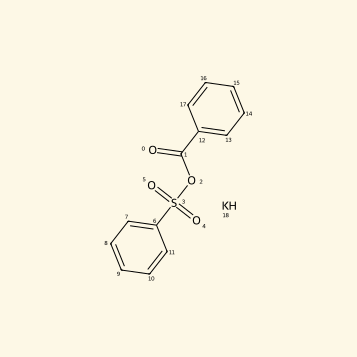 O=C(OS(=O)(=O)c1ccccc1)c1ccccc1.[KH]